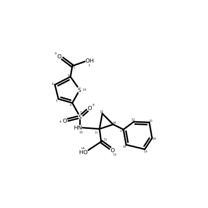 O=C(O)c1ccc(S(=O)(=O)NC2(C(=O)O)CC2c2ccccc2)s1